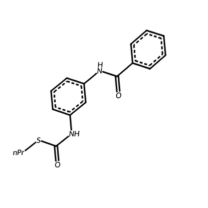 CCCSC(=O)Nc1cccc(NC(=O)c2ccccc2)c1